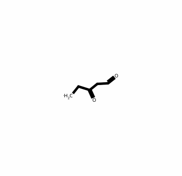 [CH2]CC(=O)CC=O